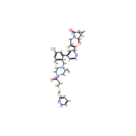 Cc1cc(Cl)cc(-c2ccnc3cc(CN4C(=O)C5CC5C4=O)sc23)c1CN1[C@@H](C)CN(C(=O)CCSSc2ccccn2)C[C@@H]1C